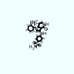 N#CC[C@]1(n2nc(Nc3ccc(S(N)(=O)=O)cc3)c3c(=O)[nH]ccc32)CCCC[C@H]1F